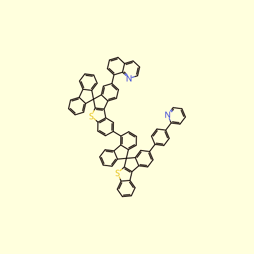 c1ccc(-c2ccc(-c3ccc4c(c3)C3(c5ccccc5-c5c(-c6ccc7sc8c(c7c6)-c6ccc(-c7cccc9cccnc79)cc6C86c7ccccc7-c7ccccc76)cccc53)c3sc5ccccc5c3-4)cc2)nc1